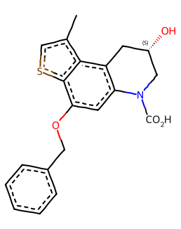 Cc1csc2c(OCc3ccccc3)cc3c(c12)C[C@H](O)CN3C(=O)O